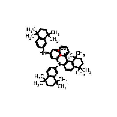 CC(C)(C)c1cc(Nc2ccc3c(c2)C(C)(C)CCC3(C)C)cc(N(c2ccc3c(c2)C(C)(C)CCC3(C)C)c2ccc3c(c2-c2ccccc2)C(C)(C)CCC3(C)C)c1